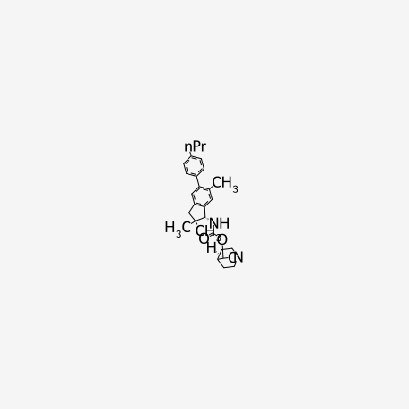 CCCc1ccc(-c2cc3c(cc2C)[C@H](NC(=O)O[C@H]2CN4CCC2CC4)C(C)(C)C3)cc1